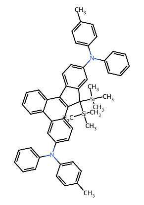 Cc1ccc(N(c2ccccc2)c2ccc3c(c2)C([Si](C)(C)C)([Si](C)(C)C)c2c-3c3ccccc3c3cc(N(c4ccccc4)c4ccc(C)cc4)ccc23)cc1